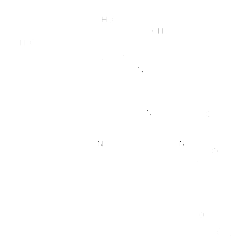 COCCC(=O)N1CCN(c2nc(C(C)C)c(-c3cccc(C)c3)cc2C#N)CC1C